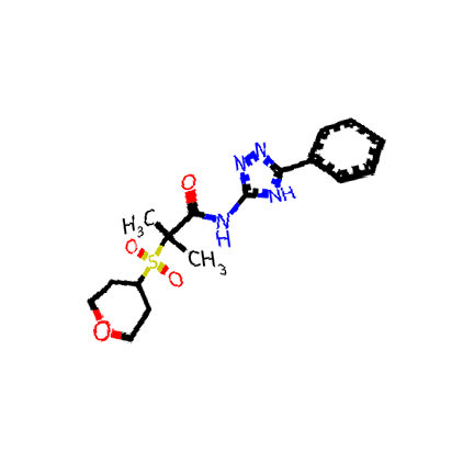 CC(C)(C(=O)Nc1nnc(-c2ccccc2)[nH]1)S(=O)(=O)C1CCOCC1